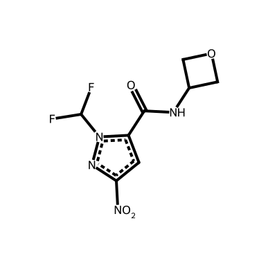 O=C(NC1COC1)c1cc([N+](=O)[O-])nn1C(F)F